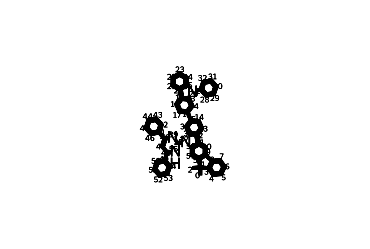 CC1(C)c2ccccc2-c2cc3c4ccc(-c5ccc6c7ccccc7n(-c7ccccc7)c6c5)cc4n(C4=NC(c5ccccc5)=CC(c5ccccc5)N4)c3cc21